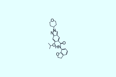 CC(C)Oc1cc2nn(C3CCOCC3)cc2cc1C(=O)Nc1cccc2c1OCC2